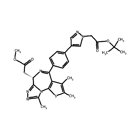 COC(=O)C[C@@H]1N=C(c2ccc(-c3cnn(CC(=O)OC(C)(C)C)c3)cc2)c2c(sc(C)c2C)-n2c(C)nnc21